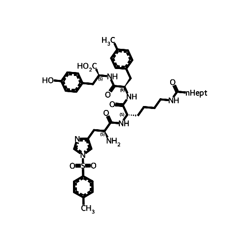 CCCCCCCC(=O)NCCCC[C@H](NC(=O)[C@@H](N)Cc1cn(S(=O)(=O)c2ccc(C)cc2)cn1)C(=O)N[C@H](Cc1ccc(C)cc1)C(=O)N[C@@H](Cc1ccc(O)cc1)C(=O)O